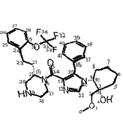 COC[C@]1(O)CCCC[C@H]1n1cnc(C(=O)N2CCNC[C@@H]2CCc2ccccc2OC(F)(F)F)c1-c1ccccc1